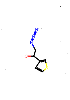 [N-]=[N+]=NCC(O)c1ccsc1